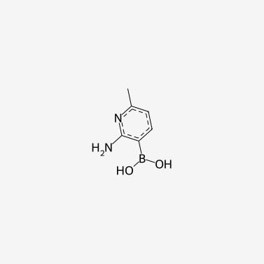 Cc1ccc(B(O)O)c(N)n1